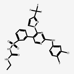 CCNC(=O)NS(=O)(=O)c1cccc(-c2cnc(Nc3ccc(F)c(Cl)c3)nc2-n2ccc(C(F)(F)F)n2)c1